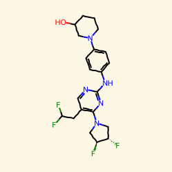 OC1CCCN(c2ccc(Nc3ncc(CC(F)F)c(N4C[C@H](F)[C@@H](F)C4)n3)cc2)C1